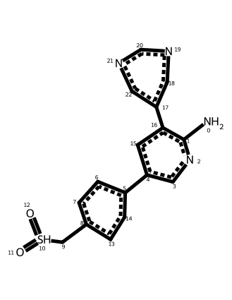 Nc1ncc(-c2ccc(C[SH](=O)=O)cc2)cc1-c1cncnc1